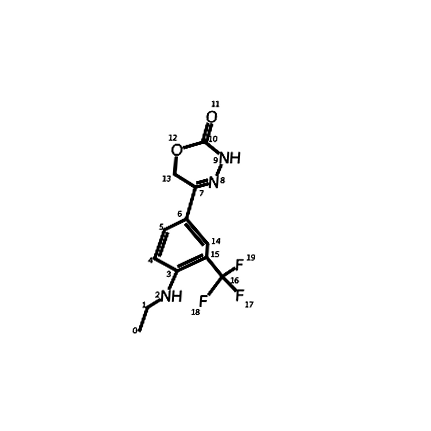 CCNc1ccc(C2=NNC(=O)OC2)cc1C(F)(F)F